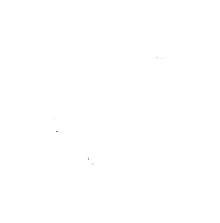 CNC(=O)c1cccc(Oc2cccc([C@H]3O[C@H](CO)[C@@H](O)[C@H](O)[C@H]3O)c2F)c1